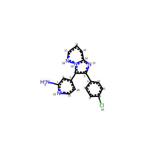 Nc1cc(-c2c(-c3ccc(Cl)cc3)nc3cccnn23)ccn1